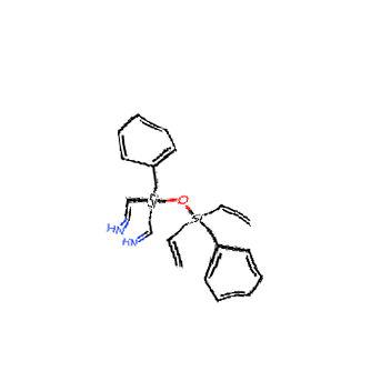 C=C[Si](C=C)(O[Si](C=N)(C=N)c1ccccc1)c1ccccc1